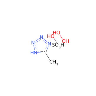 Cc1nnn[nH]1.O=S(=O)(O)O.OO